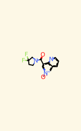 O=C(c1c[n+]([O-])cc2cccnc12)N1CCC(F)(F)C1